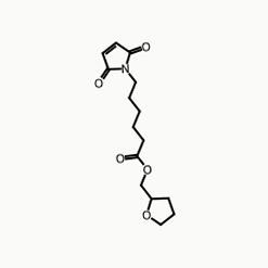 O=C(CCCCCN1C(=O)C=CC1=O)OCC1CCCO1